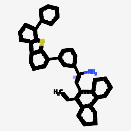 C=Cc1c(/C=C(\N)c2cccc(-c3cccc4c3sc3c(-c5ccccc5)cccc34)c2)c2ccccc2c2ccccc12